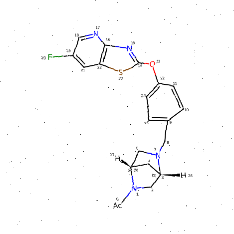 CC(=O)N1C[C@@H]2C[C@H]1CN2Cc1ccc(Oc2nc3ncc(F)cc3s2)cc1